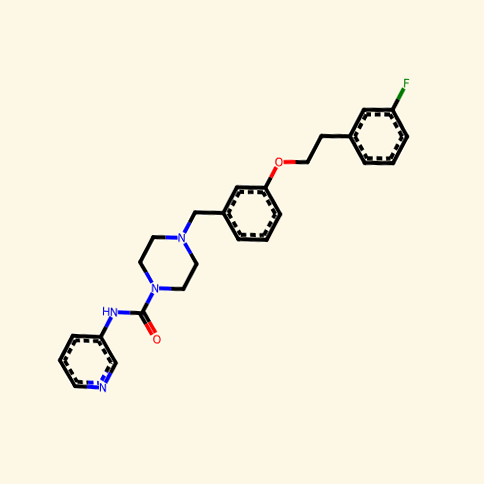 O=C(Nc1cccnc1)N1CCN(Cc2cccc(OCCc3cccc(F)c3)c2)CC1